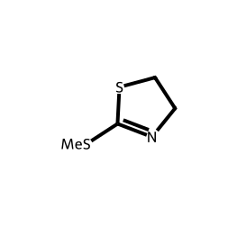 CSC1=NCCS1